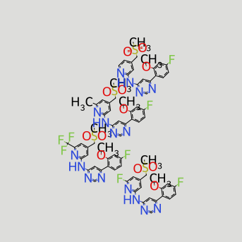 COc1cc(F)ccc1-c1cc(Nc2cc(CS(C)(=O)=O)cc(C(F)(F)F)n2)ncn1.COc1cc(F)ccc1-c1cc(Nc2cc(CS(C)(=O)=O)cc(C)n2)ncn1.COc1cc(F)ccc1-c1cc(Nc2cc(CS(C)(=O)=O)cc(F)n2)ncn1.COc1cc(F)ccc1-c1cc(Nc2cc(CS(C)(=O)=O)ccn2)ncn1